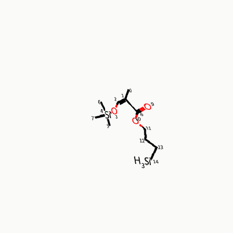 CC(=CO[Si](C)(C)C)C(=O)OCCC[SiH3]